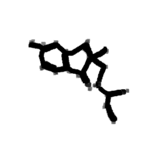 CCC(=O)OCC1(C)Cc2cc(C)ccc2C1=O